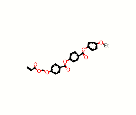 C=CC(=O)OCOc1ccc(C(=O)Oc2ccc(C(=O)Oc3ccc(OCC)cc3)cc2)cc1